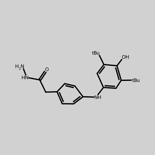 CC(C)(C)c1cc(Nc2ccc(CC(=O)NN)cc2)cc(C(C)(C)C)c1O